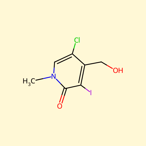 Cn1cc(Cl)c(CO)c(I)c1=O